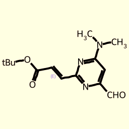 CN(C)c1cc(C=O)nc(/C=C/C(=O)OC(C)(C)C)n1